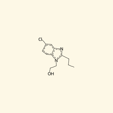 CCCc1nc2cc(Cl)ccc2n1CCO